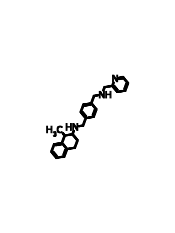 CC1c2ccccc2CCC1NCc1ccc(CNCc2ccccn2)cc1